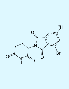 [2H]c1cc(Br)c2c(c1)C(=O)N(C1CCC(=O)NC1=O)C2=O